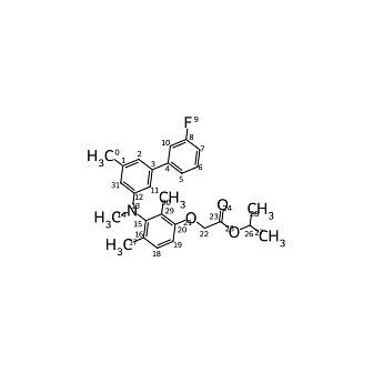 Cc1cc(-c2cccc(F)c2)cc(N(C)c2c(C)ccc(OCC(=O)OC(C)C)c2C)c1